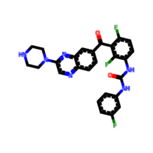 O=C(Nc1cccc(F)c1)Nc1ccc(F)c(C(=O)c2ccc3ncc(N4CCNCC4)nc3c2)c1F